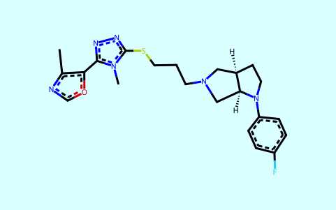 Cc1ncoc1-c1nnc(SCCCN2C[C@H]3CCN(c4ccc(F)cc4)[C@H]3C2)n1C